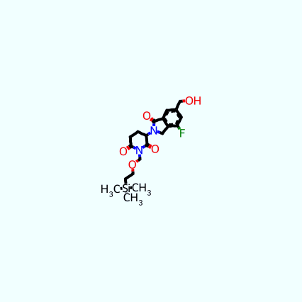 C[Si](C)(C)CCOCN1C(=O)CCC(N2Cc3c(F)cc(CO)cc3C2=O)C1=O